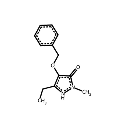 CCc1[nH]n(C)c(=O)c1OCc1ccccc1